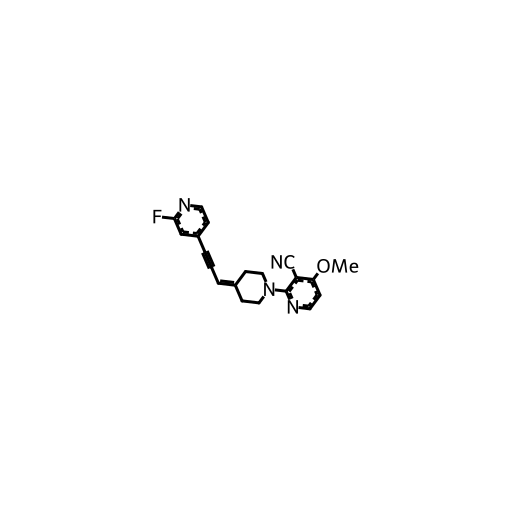 COc1ccnc(N2CCC(=CC#Cc3ccnc(F)c3)CC2)c1C#N